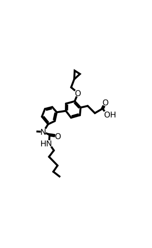 CCCCCNC(=O)N(C)c1cccc(-c2ccc(CCC(=O)O)c(OCC3CC3)c2)c1